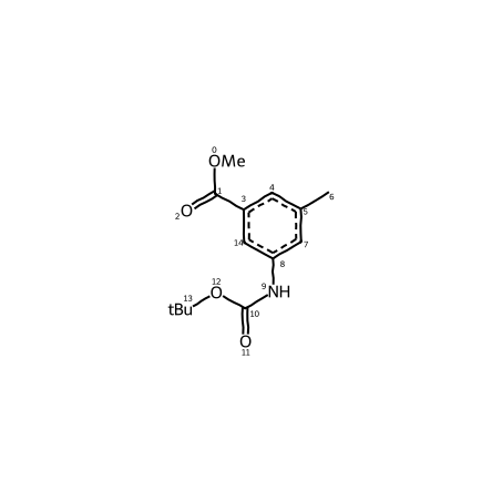 COC(=O)c1cc(C)cc(NC(=O)OC(C)(C)C)c1